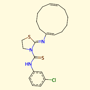 S=C(Nc1cccc(Cl)c1)N1CCSC1=NC1=CCCCCC=CCCCC1